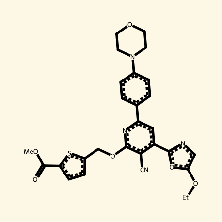 CCOc1cnc(-c2cc(-c3ccc(N4CCOCC4)cc3)nc(OCc3ccc(C(=O)OC)s3)c2C#N)o1